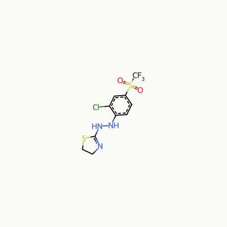 O=S(=O)(c1ccc(NNC2=NCCS2)c(Cl)c1)C(F)(F)F